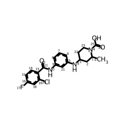 CC1CC(Nc2cccc(NC(=O)c3ccc(F)cc3Cl)c2)CCN1C(=O)O